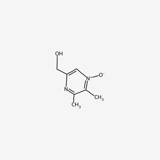 Cc1nc(CO)c[n+]([O-])c1C